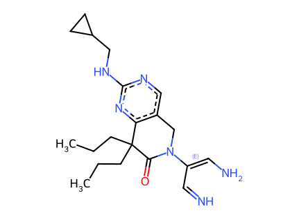 CCCC1(CCC)C(=O)N(/C(C=N)=C/N)Cc2cnc(NCC3CC3)nc21